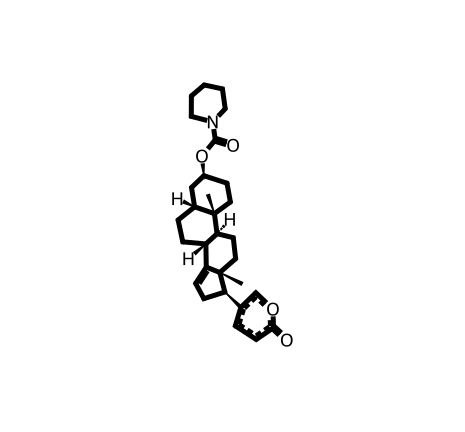 C[C@]12CC[C@H](OC(=O)N3CCCCC3)C[C@H]1CC[C@H]1C3=CC[C@H](c4ccc(=O)oc4)[C@@]3(C)CC[C@@H]12